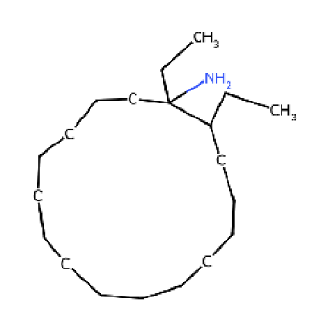 CCC1CCCCCCCCCCCCCCC1(N)CC